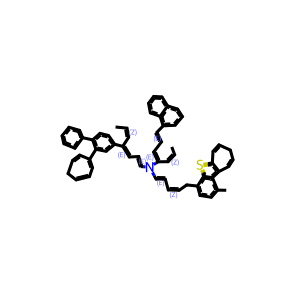 C\C=C/C(=C\C=C\N(/C=C/C=C\Cc1ccc(C)c2c3c(sc12)C=CCC=C3)C(/C=C\C)=C/C=C/c1cccc2ccccc12)c1ccc(-c2ccccc2)c(C2=CC=CCC=C2)c1